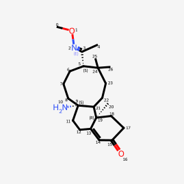 CO/N=C(\C)[C@H]1CCC[C@]2(N)CCC3=CC(=O)CC[C@]3(C)C2CCC1(C)C